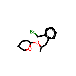 CC(Cc1ccccc1CBr)OC1CCCCO1